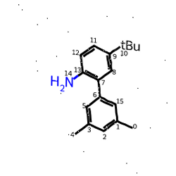 Cc1cc(C)cc(-c2cc(C(C)(C)C)ccc2N)c1